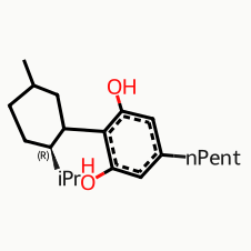 CCCCCc1cc(O)c(C2CC(C)CC[C@@H]2C(C)C)c(O)c1